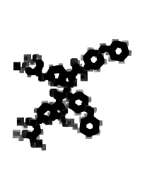 CCC(CC)Oc1ccc2c(C(=O)NC3CCN(CC4CCCCC4)CC3)nn(N(C(=O)c3nn(C)c4nc(N(C)CC(C)C)ccc34)C3CCN(CC4CCCCC4)CC3)c2n1